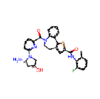 Cc1cccc(F)c1NC(=O)c1cc2c(s1)-c1ccccc1N(C(=O)c1cccc(N3C[C@@H](O)C[C@@H]3N)n1)CC2